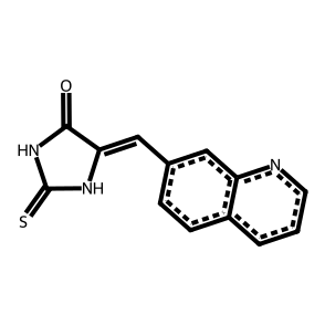 O=C1NC(=S)N/C1=C\c1ccc2cccnc2c1